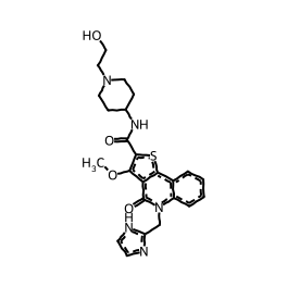 COc1c(C(=O)NC2CCN(CCO)CC2)sc2c1c(=O)n(Cc1ncc[nH]1)c1ccccc21